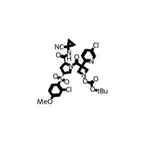 COc1ccc(S(=O)(=O)[C@@H]2C[C@@H](C(=O)NC3(C#N)CC3)N(C(=O)C3(c4ccc(Cl)cn4)CN(OC(=O)OC(C)(C)C)C3)C2)c(Cl)c1